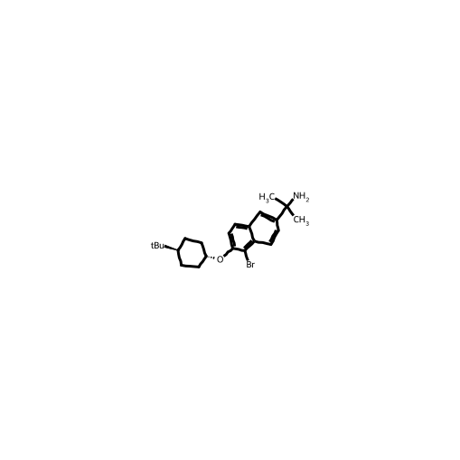 CC(C)(N)c1ccc2c(Br)c(O[C@H]3CC[C@H](C(C)(C)C)CC3)ccc2c1